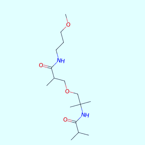 COCCCNC(=O)C(C)COCC(C)(C)NC(=O)C(C)C